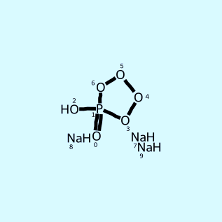 O=P1(O)OOOO1.[NaH].[NaH].[NaH]